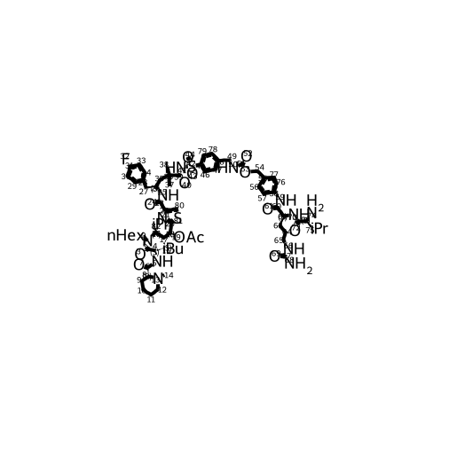 CCCCCCN(C(=O)[C@@H](NC(=O)[C@H]1CCCCN1C)[C@@H](C)CC)[C@H](C[C@@H](OC(C)=O)c1nc(C(=O)N[C@@H](Cc2ccc(F)cc2)CC(C)(C)C(=O)NS(=O)(=O)c2ccc(CNC(=O)OCc3ccc(NC(=O)[C@H](CCCNC(N)=O)NC(=O)[C@@H](N)C(C)C)cc3)cc2)cs1)C(C)C